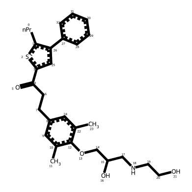 CCCc1sc(C(=O)CCc2cc(C)c(OCC(O)CNCCO)c(C)c2)cc1-c1ccccc1